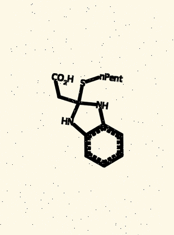 CCCCCSC1(CC(=O)O)Nc2ccccc2N1